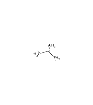 [AlH3].[CH2]CP